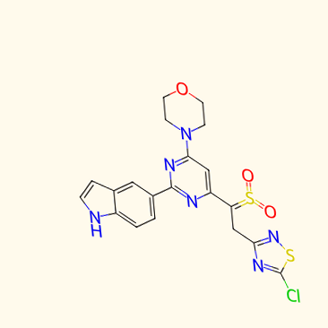 O=S(=O)=C(Cc1nsc(Cl)n1)c1cc(N2CCOCC2)nc(-c2ccc3[nH]ccc3c2)n1